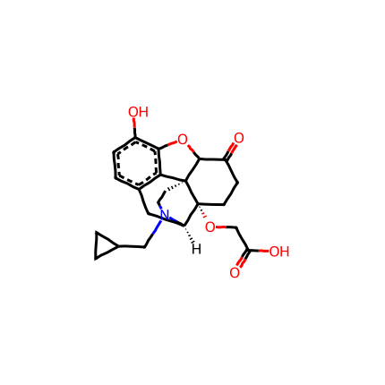 O=C(O)CO[C@@]12CCC(=O)C3Oc4c(O)ccc5c4[C@@]31CCN(CC1CC1)[C@@H]2C5